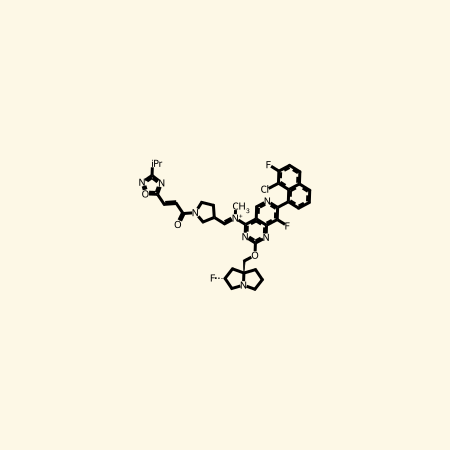 CC(C)c1noc(/C=C/C(=O)N2CCC(/C=[N+](\C)c3nc(OC[C@@]45CCCN4C[C@H](F)C5)nc4c(F)c(-c5cccc6ccc(F)c(Cl)c56)ncc34)C2)n1